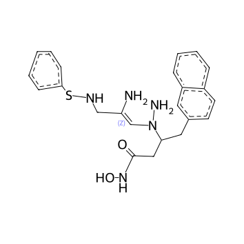 N/C(=C\N(N)C(CC(=O)NO)Cc1ccc2ccccc2c1)CNSc1ccccc1